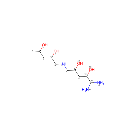 CC(O)CC(O)CNCC(O)CC(O)C(N)N